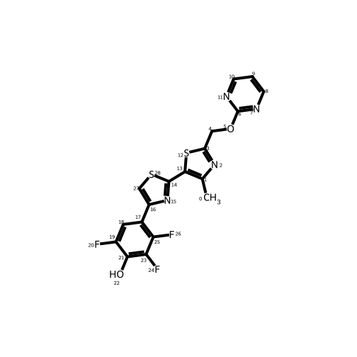 Cc1nc(COc2ncccn2)sc1-c1nc(-c2cc(F)c(O)c(F)c2F)cs1